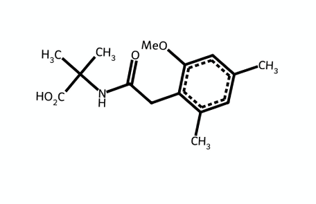 COc1cc(C)cc(C)c1CC(=O)NC(C)(C)C(=O)O